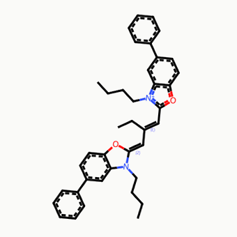 CCCCN1/C(=C/C(=C/c2oc3ccc(-c4ccccc4)cc3[n+]2CCCC)CC)Oc2ccc(-c3ccccc3)cc21